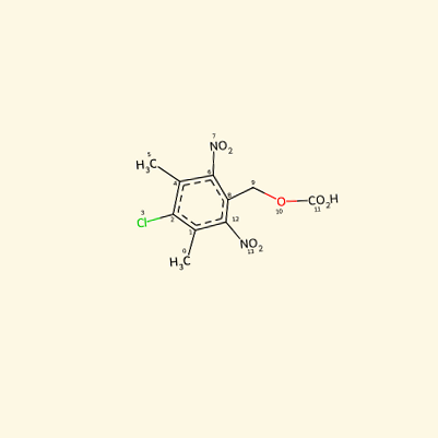 Cc1c(Cl)c(C)c([N+](=O)[O-])c(COC(=O)O)c1[N+](=O)[O-]